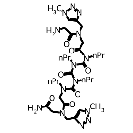 CCCN(CC(=O)N(CC(N)=O)Cc1cn(C)nn1)C(=O)N(CCC)C(=O)N(CCC)C(=O)N(CCC)C(=O)CN(Cc1cn(C)nn1)C(=O)CN